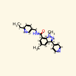 CCc1ccc(CNC(=O)c2cc(C)cc3c(-c4ccncc4)nn(C)c23)cn1